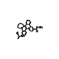 C=C(Nc1ccc(C(=O)N2CCN(C(=O)OC(C)(C)C)CC2c2ccccc2)c(N2CCCCCC2)c1)C1CC1